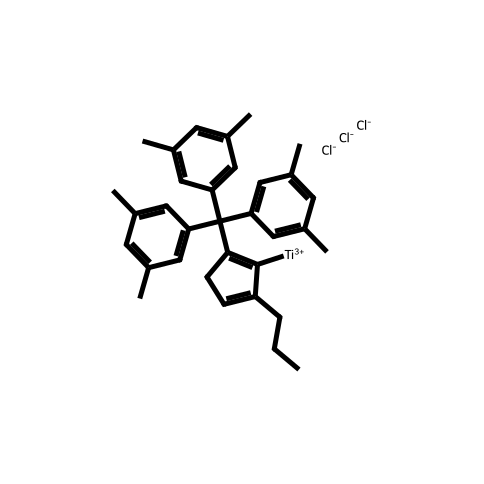 CCCC1=CCC(C(c2cc(C)cc(C)c2)(c2cc(C)cc(C)c2)c2cc(C)cc(C)c2)=[C]1[Ti+3].[Cl-].[Cl-].[Cl-]